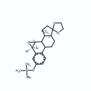 CC(C)(C)[Si](C)(C)Oc1ccc2c(c1)[C@H]1O[C@H]1C1C2CC[C@@]2(C)C1CCC21OCCO1